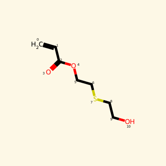 C=CC(=O)OCCSCCO